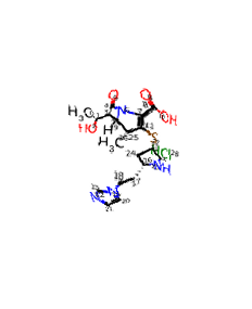 C[C@@H](O)[C@H]1C(=O)N2C(C(=O)O)=C(S[C@@H]3CN[C@H](CCn4ccnc4)C3)[C@H](C)[C@H]12.Cl